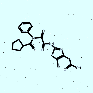 O=C(O)Cc1nc(NC(=O)C(=O)N(C(=O)C2CCCC2)c2ccccc2)sc1Br